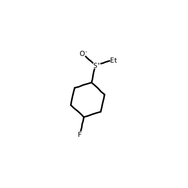 CC[S+]([O-])C1CCC(F)CC1